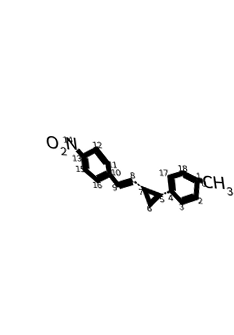 Cc1ccc([C@@H]2C[C@@H]2/C=C/c2ccc([N+](=O)[O-])cc2)cc1